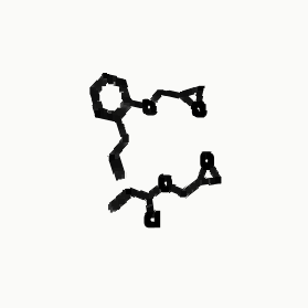 C=CC(Cl)OCC1CO1.C=CCc1ccccc1OCC1CO1